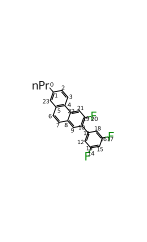 CCCc1ccc2c(ccc3cc(-c4cc(F)cc(F)c4)c(F)cc32)c1